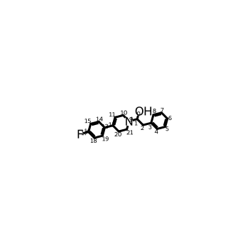 OC(Cc1ccccc1)N1CC=C(c2ccc(F)cc2)CC1